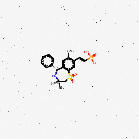 CCCC[C@]1(CC)CS(=O)(=O)c2cc(C=CP(=O)(O)O)c(OC)cc2[C@@H](c2ccccc2)N1